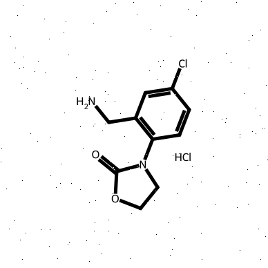 Cl.NCc1cc(Cl)ccc1N1CCOC1=O